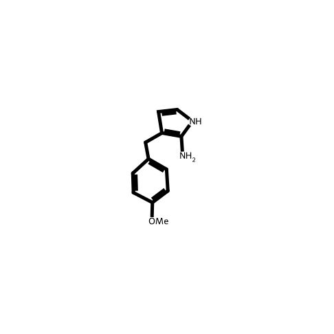 COc1ccc(Cc2cc[nH]c2N)cc1